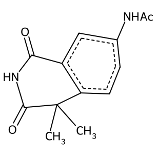 CC(=O)Nc1ccc2c(c1)C(=O)NC(=O)C2(C)C